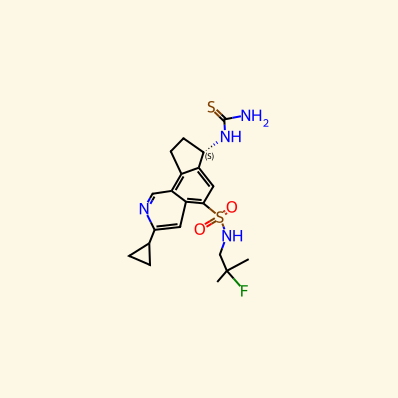 CC(C)(F)CNS(=O)(=O)c1cc2c(c3cnc(C4CC4)cc13)CC[C@@H]2NC(N)=S